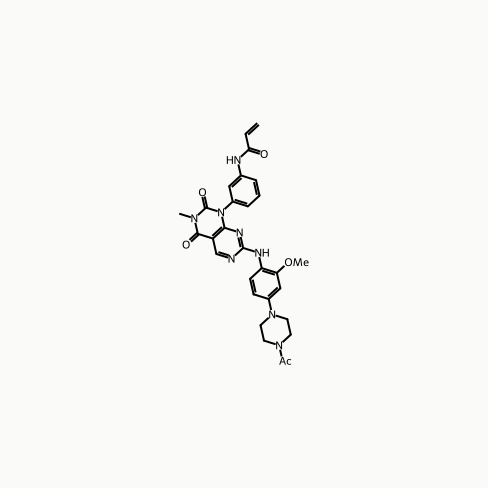 C=CC(=O)Nc1cccc(-n2c(=O)n(C)c(=O)c3cnc(Nc4ccc(N5CCN(C(C)=O)CC5)cc4OC)nc32)c1